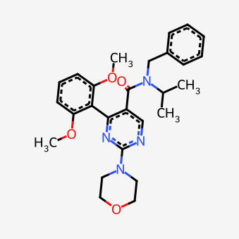 COc1cccc(OC)c1-c1nc(N2CCOCC2)ncc1C(=O)N(Cc1ccccc1)C(C)C